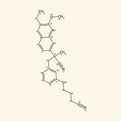 CCc1cc2ccc(C(C)(C#N)Cc3cccc(OCCCC#N)c3)cc2nc1OC